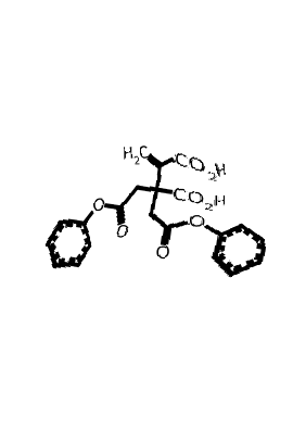 C=C(C(=O)O)C(CC(=O)Oc1ccccc1)(CC(=O)Oc1ccccc1)C(=O)O